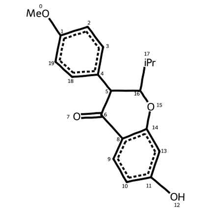 COc1ccc(C2C(=O)c3ccc(O)cc3OC2C(C)C)cc1